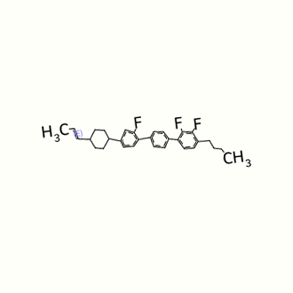 C/C=C/C1CCC(c2ccc(-c3ccc(-c4ccc(CCCC)c(F)c4F)cc3)c(F)c2)CC1